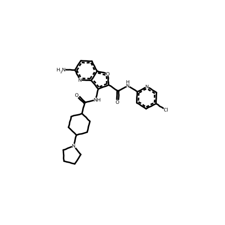 Nc1ccc2oc(C(=O)Nc3ccc(Cl)cn3)c(NC(=O)C3CCC(N4CCCC4)CC3)c2n1